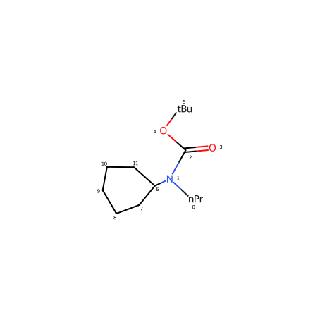 CCCN(C(=O)OC(C)(C)C)C1CCCCC1